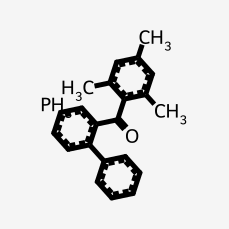 Cc1cc(C)c(C(=O)c2ccccc2-c2ccccc2)c(C)c1.P